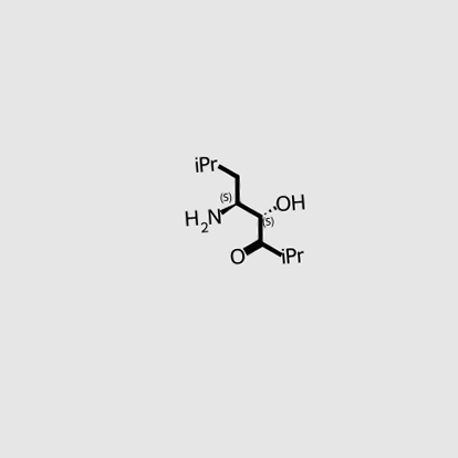 CC(C)C[C@H](N)[C@H](O)C(=O)C(C)C